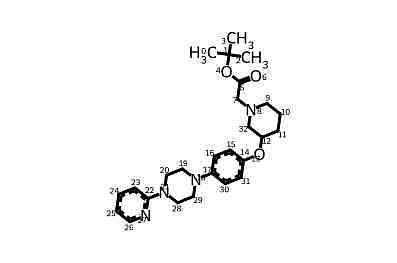 CC(C)(C)OC(=O)CN1CCCC(Oc2ccc(N3CCN(c4ccccn4)CC3)cc2)C1